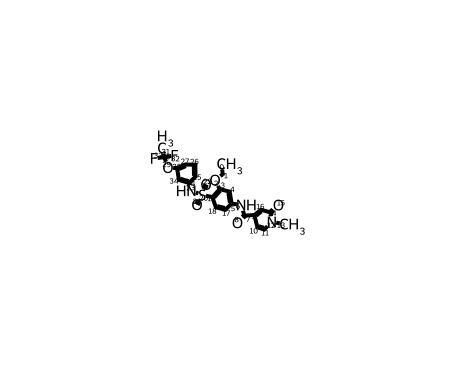 CCOc1cc(NC(=O)c2ccn(C)c(=O)c2)ccc1S(=O)(=O)Nc1cccc(OC(C)(F)F)c1